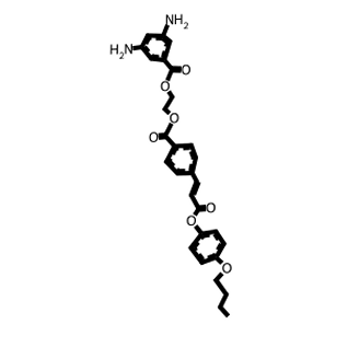 CCCCOc1ccc(OC(=O)C=Cc2ccc(C(=O)OCCOC(=O)c3cc(N)cc(N)c3)cc2)cc1